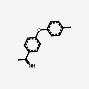 CC(=N)c1ccc(Oc2ccc(C)cc2)cc1